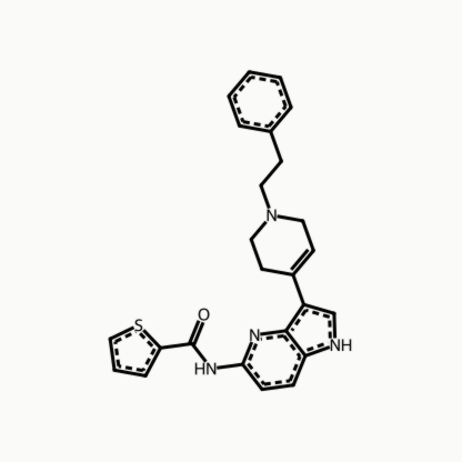 O=C(Nc1ccc2[nH]cc(C3=CCN(CCc4ccccc4)CC3)c2n1)c1cccs1